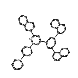 c1ccc(-c2ccc(-c3cc(-c4cc(-c5cccc6ccccc56)cc(-c5cccc6ccccc56)c4)nc(-c4ccc5ccccc5c4)n3)cc2)cc1